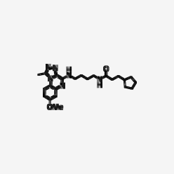 COc1ccc2c(c1)nc(NCCCCNC(=O)CCC1CCCC1)c1nnc(C)n12